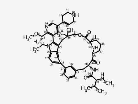 CCn1c(-c2cc(C3=CCNCC3)cnc2[C@H](C)OC)c2c3cc(ccc31)-c1cccc(c1)C[C@H](NC(=O)C(NC)C(C)C)C(=O)N1CCC[C@H](N1)C(=O)OCC(C)(C)C2